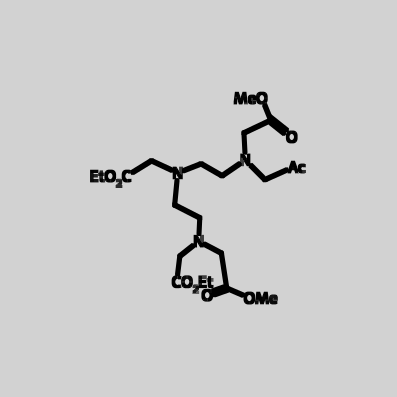 CCOC(=O)CN(CCN(CC(C)=O)CC(=O)OC)CCN(CC(=O)OC)CC(=O)OCC